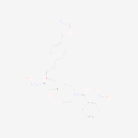 O=C(CC1(c2ccc(-c3ccc(-c4cnco4)cc3)s2)CCN(C(=O)c2ccccc2[N+](=O)[O-])CCS1(=O)=O)NO